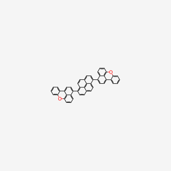 c1ccc2c(c1)Oc1cccc3c(-c4ccc5ccc6c(-c7ccc8c9c(cccc79)Oc7ccccc7-8)ccc7ccc4c5c76)ccc-2c13